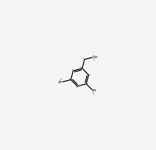 CC(C)c1cc(CO)cc(C(C)C)c1